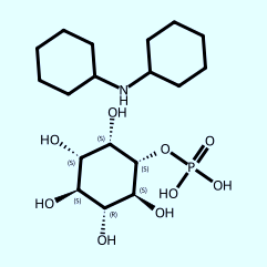 C1CCC(NC2CCCCC2)CC1.O=P(O)(O)O[C@@H]1[C@@H](O)[C@H](O)[C@@H](O)[C@H](O)[C@@H]1O